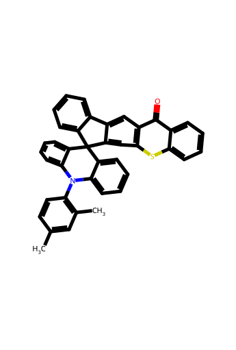 Cc1ccc(N2c3ccccc3C3(c4ccccc4-c4cc5c(=O)c6ccccc6sc5cc43)c3ccccc32)c(C)c1